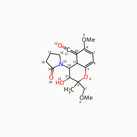 COCC1(C)OC2=CC=C(OC)C(=C=O)C2C(N2CCCC2=O)C1O